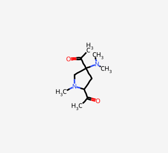 CC(=O)C1CC(C(C)=O)(N(C)C)CN1C